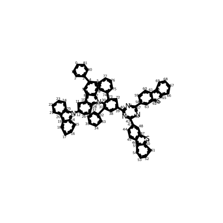 c1ccc(-c2ccc3c(c2)c2cc(-n4c5ccccc5c5ccccc54)ccc2n3-c2c(-c3ccccc3)cc(-c3nc(-c4ccc5c(c4)sc4ccccc45)nc(-c4ccc5c(c4)sc4ccccc45)n3)cc2-c2ccccc2)cc1